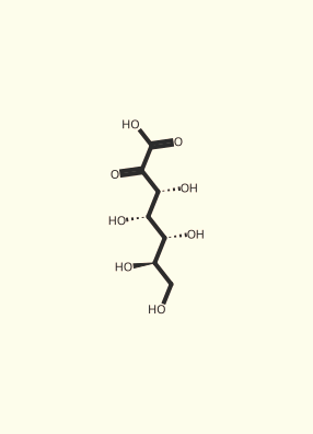 O=C(O)C(=O)[C@H](O)[C@@H](O)[C@H](O)[C@H](O)CO